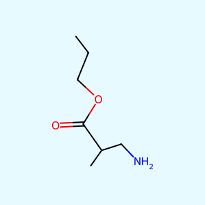 CCCOC(=O)C(C)CN